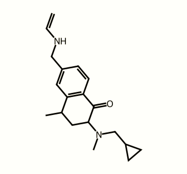 C=CNCc1ccc2c(c1)C(C)CC(N(C)CC1CC1)C2=O